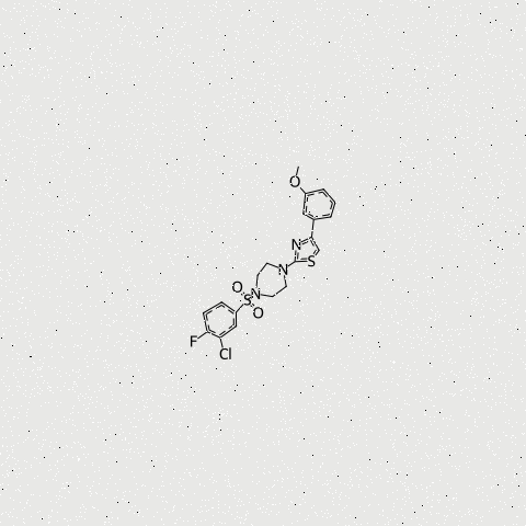 COc1cccc(-c2csc(N3CCN(S(=O)(=O)c4ccc(F)c(Cl)c4)CC3)n2)c1